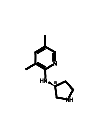 Cc1cnc(N[C@@H]2CCNC2)c(C)c1